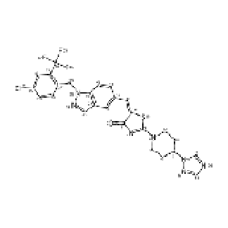 O=C1N=C(N2CCC(n3cncn3)CC2)SC1=Cc1ccc2c(cnn2Cc2ccc(Cl)cc2C(F)(F)F)c1